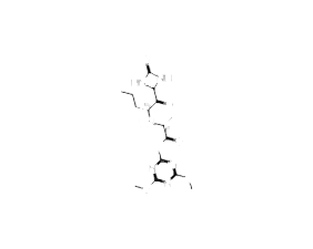 CCC[C@H](N[C@@H](C)C(=O)Oc1nc(OC)nc(OC)n1)C(=O)C1NC(=O)N1